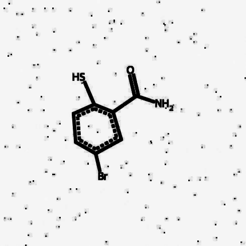 NC(=O)c1cc(Br)ccc1S